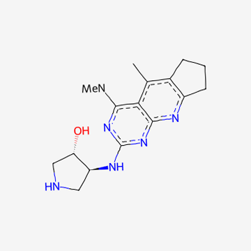 CNc1nc(N[C@H]2CNC[C@@H]2O)nc2nc3c(c(C)c12)CCC3